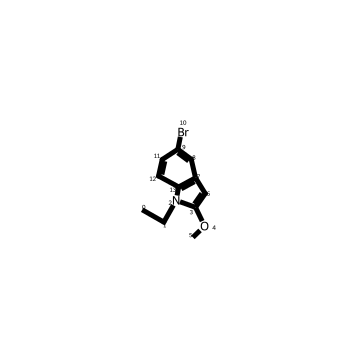 CCn1c(OC)cc2cc(Br)ccc21